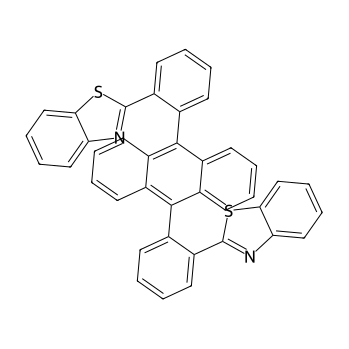 c1ccc(-c2c3ccccc3c(-c3ccccc3-c3nc4ccccc4s3)c3ccccc23)c(-c2nc3ccccc3s2)c1